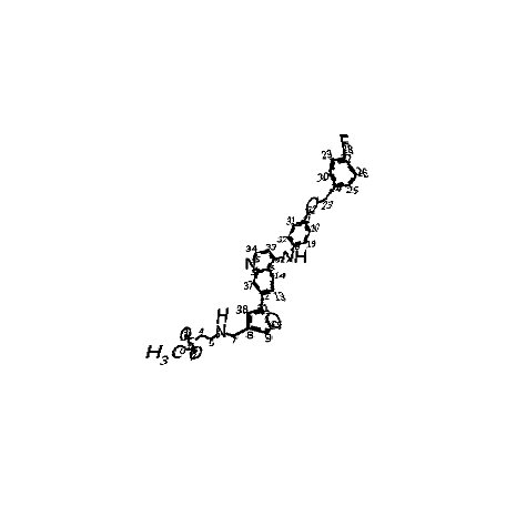 CS(=O)(=O)CCNCc1coc(-c2ccc3c(Nc4ccc(OCc5ccc(F)cc5)cc4)ccnc3c2)c1